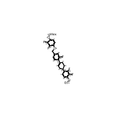 CCCCCCOc1ccc(OCc2ccc(C3=CCC(c4ccc(OCC)c(F)c4F)CC3)c(F)c2)c(F)c1F